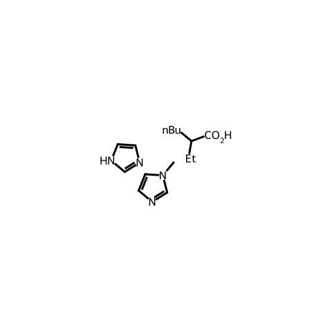 CCCCC(CC)C(=O)O.Cn1ccnc1.c1c[nH]cn1